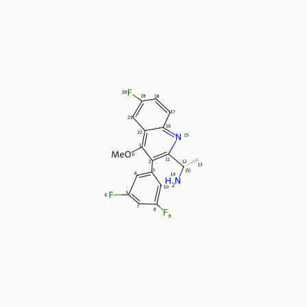 COc1c(-c2cc(F)cc(F)c2)c([C@H](C)N)nc2ccc(F)cc12